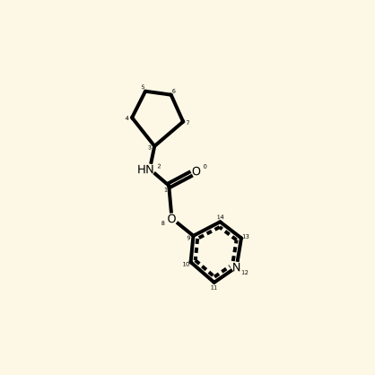 O=C(NC1CCCC1)Oc1ccncc1